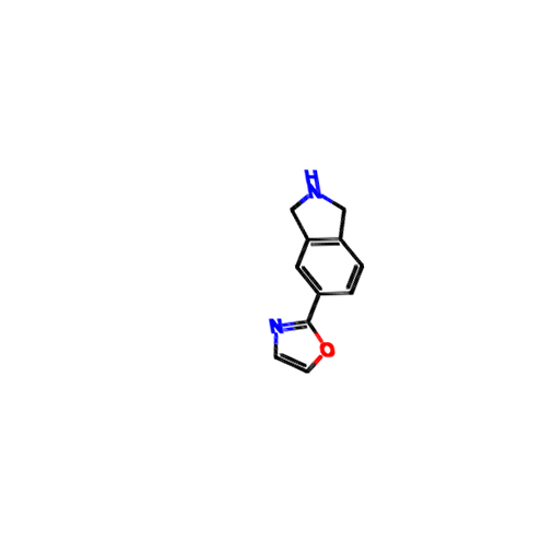 c1coc(-c2ccc3c(c2)CNC3)n1